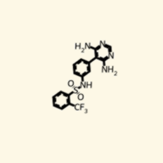 Nc1ncnc(N)c1-c1cccc(NS(=O)(=O)c2ccccc2C(F)(F)F)c1